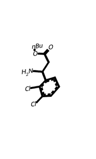 CCCCOC(=O)CC(N)c1cccc(Cl)c1Cl